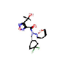 CC(C)(O)c1nonc1C(=O)N(CC1CCC(F)(F)CC1)N1C=CC=CO1